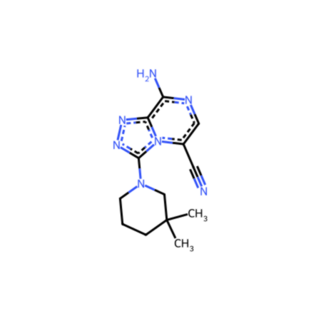 CC1(C)CCCN(c2nnc3c(N)ncc(C#N)n23)C1